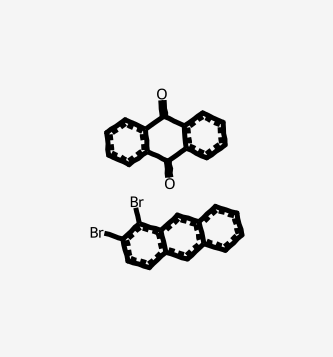 Brc1ccc2cc3ccccc3cc2c1Br.O=C1c2ccccc2C(=O)c2ccccc21